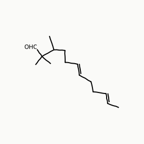 C/C=C/CC/C=C/CCC(C)C(C)(C)C=O